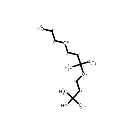 CC(C)(O)CCOC(C)(C)CCOCCO